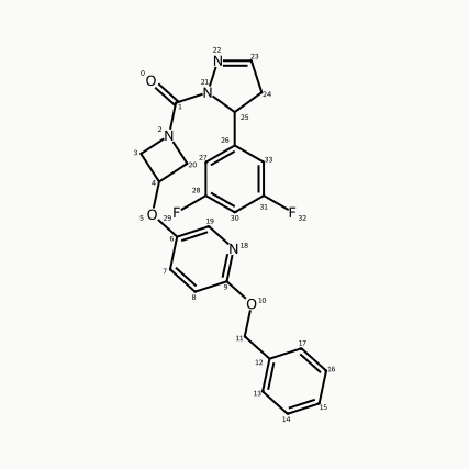 O=C(N1CC(Oc2ccc(OCc3ccccc3)nc2)C1)N1N=CCC1c1cc(F)cc(F)c1